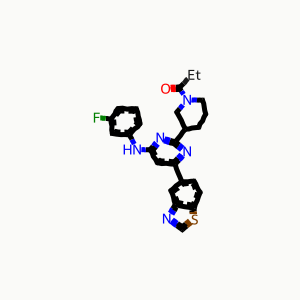 CCC(=O)N1CCCC(c2nc(Nc3cccc(F)c3)cc(-c3ccc4scnc4c3)n2)C1